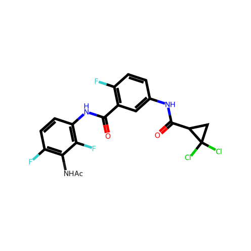 CC(=O)Nc1c(F)ccc(NC(=O)c2cc(NC(=O)C3CC3(Cl)Cl)ccc2F)c1F